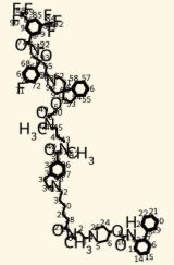 CN(CCN1CCC(OC(=O)Nc2ccccc2-c2ccccc2)CC1)C(=O)CCCCCN1CCc2cc(C(=O)N(C)CCCN(C)C(=O)CO[C@H]3Cc4ccccc4C34CCN(CC[C@@]3(c5ccc(F)cc5)CN(C(=O)c5cc(C(F)(F)F)cc(C(F)(F)F)c5)CO3)CC4)ccc21